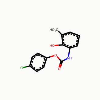 O=C(Nc1cccc(C(=O)O)c1O)Oc1ccc(Cl)cc1